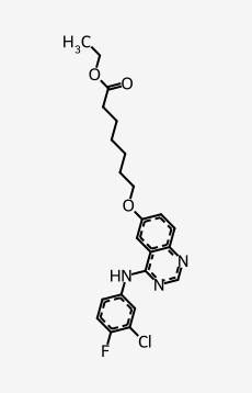 CCOC(=O)CCCCCCOc1ccc2ncnc(Nc3ccc(F)c(Cl)c3)c2c1